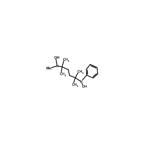 CC(C)(C)N(O)C(C)(C)CCC(C)(C)N(O)c1ccccc1